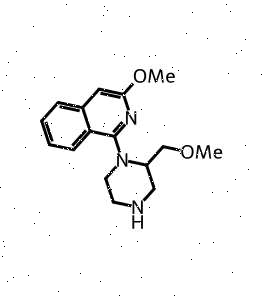 COCC1CNCCN1c1nc(OC)cc2ccccc12